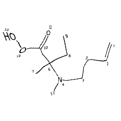 C=CCCN(C)C(C)(CC)C(=O)OO